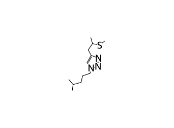 CSC(C)Cc1cn(CCCC(C)C)nn1